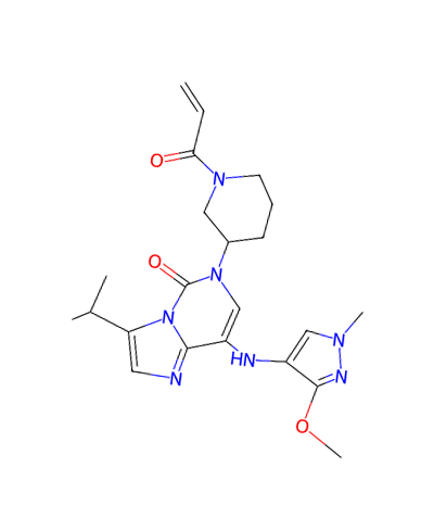 C=CC(=O)N1CCCC(n2cc(Nc3cn(C)nc3OC)c3ncc(C(C)C)n3c2=O)C1